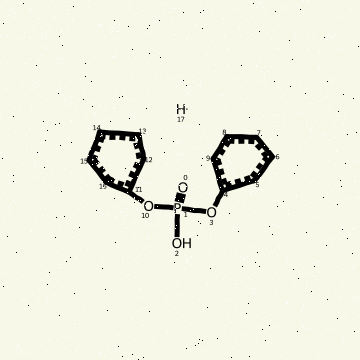 O=P(O)(Oc1ccccc1)Oc1ccccc1.[H]